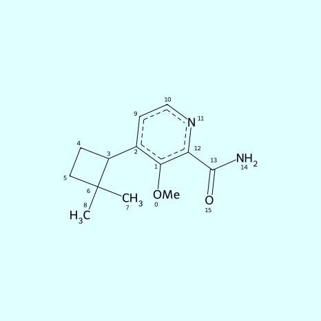 COc1c(C2CCC2(C)C)ccnc1C(N)=O